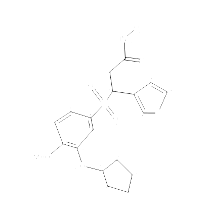 COc1ccc(S(=O)(=O)C(CC(=O)NO)c2ccsc2)cc1OC1CCCC1